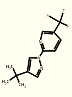 CC(C)(C)c1cnn(-c2ccc(C(F)(F)F)cn2)c1